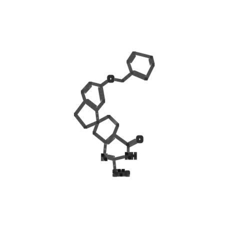 CSc1nc2c(c(=O)[nH]1)CCC1(CCc3ccc(OCc4ccccc4)cc31)C2